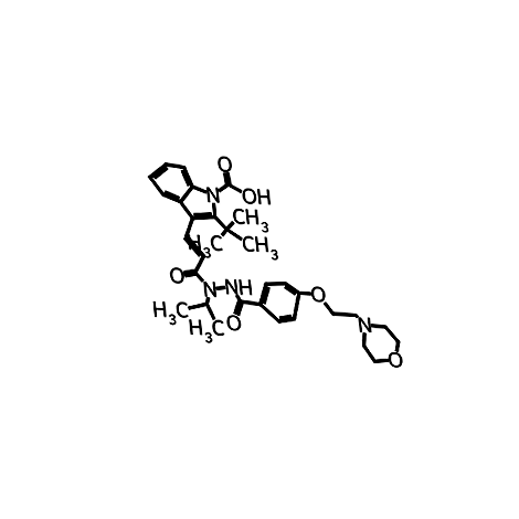 CC(C)N(NC(=O)c1ccc(OCCN2CCOCC2)cc1)C(=O)C=Cc1c(C(C)(C)C)n(C(=O)O)c2ccccc12